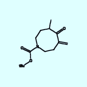 C=C1CCN(C(=O)OC(C)(C)C)CCC(C)C1=O